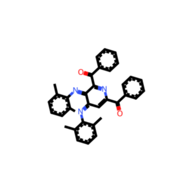 Cc1cccc(C)c1N=C1C=C(C(=O)c2ccccc2)N=C(C(=O)c2ccccc2)C1=Nc1c(C)cccc1C